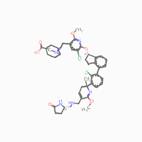 COC1=NC(C)(c2cccc(-c3cccc4c3CC[C@@H]4Oc3nc(OC)c(CN4CC5(C(=O)O)CCC4CC5)cc3Cl)c2Cl)CC=C1CNC[C@@H]1CCC(=O)N1